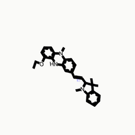 CCOc1cccc2c1Nc1cc(/C=C/C3N(C)c4ccccc4C3(C)C)ccc1N2C